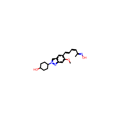 COc1cc2nn(C3CCC(O)CC3)cc2cc1/C=C/C=C\C(C)=N\O